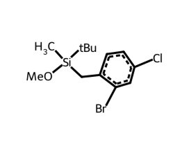 CO[Si](C)(Cc1ccc(Cl)cc1Br)C(C)(C)C